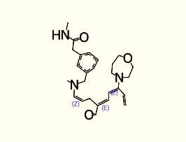 C=C/C(=C\C=C(\C=O)C/C=C\N(C)Cc1cccc(CC(=O)NC)c1)N1CCCOCC1